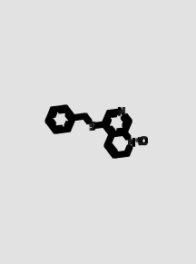 O=[N+]1CC=Cc2c(SCc3ccccc3)cncc21